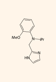 COc1ccccc1N(Cc1ncc[nH]1)C(C)C